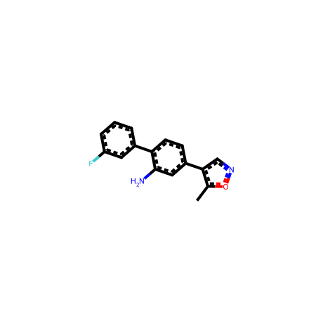 Cc1oncc1-c1ccc(-c2cccc(F)c2)c(N)c1